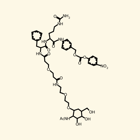 CC(=O)NC1C(OCCOCCNC(=O)CCOCCC(=O)NC(Cc2ccccc2)C(=O)NC(CCCNC(N)=O)C(=O)Nc2ccc(COC(=O)Oc3ccc([N+](=O)[O-])cc3)cc2)CC(CO)C(O)C1O